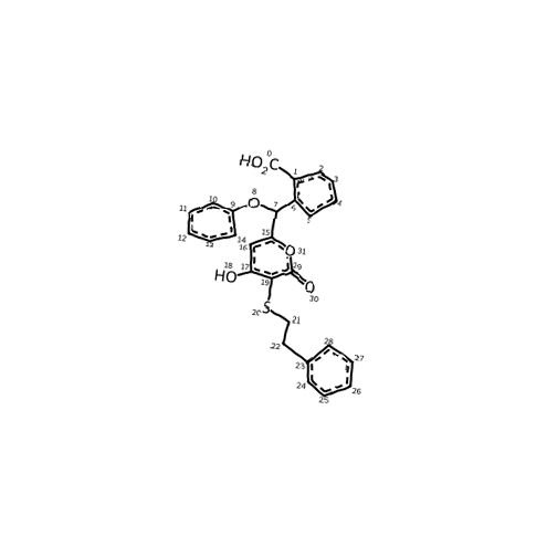 O=C(O)c1ccccc1C(Oc1ccccc1)c1cc(O)c(SCCc2ccccc2)c(=O)o1